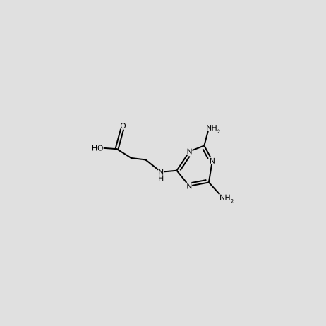 Nc1nc(N)nc(NCCC(=O)O)n1